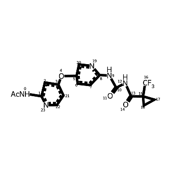 CC(=O)Nc1cc(Oc2ccc(NC(=O)NC(=O)C3(C(F)(F)F)CC3)nc2)ccn1